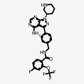 Nc1ncnc2c1c(-c1ccc(CNC(=O)c3ccc(F)cc3OC(F)(F)F)cc1)nn2[C@@H]1CCCNC1